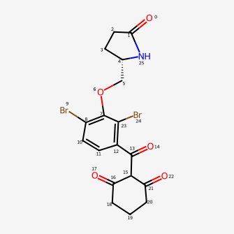 O=C1CC[C@@H](COc2c(Br)ccc(C(=O)C3C(=O)CCCC3=O)c2Br)N1